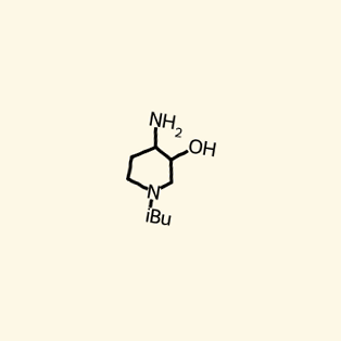 CCC(C)N1CCC(N)C(O)C1